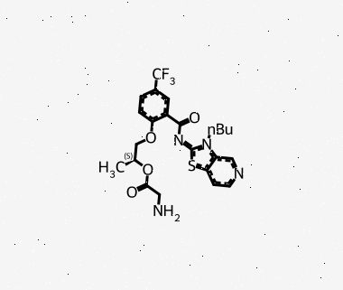 CCCCn1c(=NC(=O)c2cc(C(F)(F)F)ccc2OC[C@H](C)OC(=O)CN)sc2ccncc21